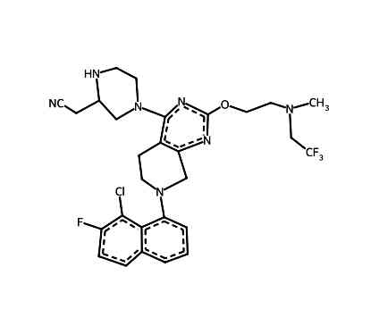 CN(CCOc1nc2c(c(N3CCNC(CC#N)C3)n1)CCN(c1cccc3ccc(F)c(Cl)c13)C2)CC(F)(F)F